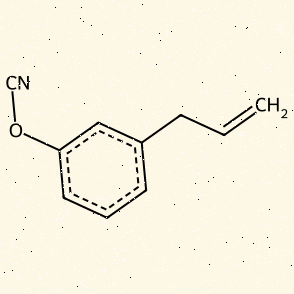 C=CCc1cccc(OC#N)c1